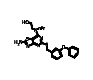 CCCN(CCO)c1nc(SCc2cccc(Oc3ccccc3)c2)nc2nc(N)sc12